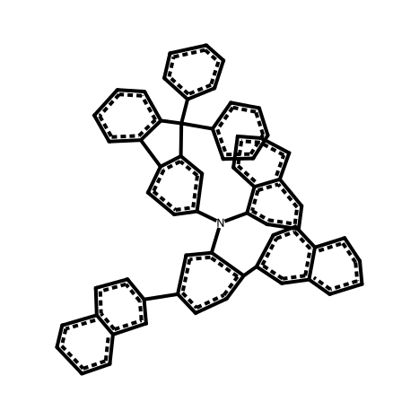 c1ccc(C2(c3ccccc3)c3ccccc3-c3ccc(N(c4cc(-c5ccc6ccccc6c5)ccc4-c4ccc5ccccc5c4)c4cccc5ccccc45)cc32)cc1